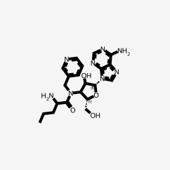 CCCC(N)C(=O)N(Cc1cccnc1)C1C(O)[C@H](n2cnc3c(N)ncnc32)O[C@@H]1CO